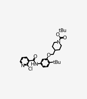 CC(C)(C)OC(=O)N1CCC(COc2cc(NC(=O)c3cccnc3Cl)ccc2C(C)(C)C)CC1